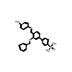 O=P(O)(O)c1ccc(-c2ccc(C=Nc3ccc(O)cc3)c(OCc3ccccc3)c2)cc1